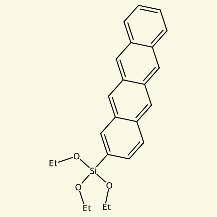 CCO[Si](OCC)(OCC)c1ccc2cc3cc4ccccc4cc3cc2c1